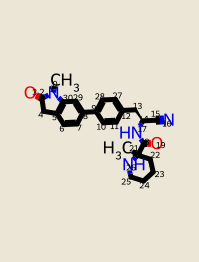 CN1C(=O)Cc2ccc(-c3ccc(C[C@@H](C#N)NC(=O)C4(C)CCCCN4)cc3)cc21